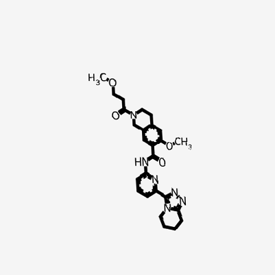 COCCC(=O)N1CCc2cc(OC)c(C(=O)Nc3cccc(-c4nnc5n4CCCC5)n3)cc2C1